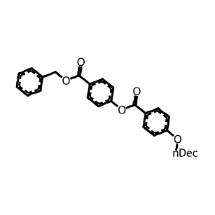 CCCCCCCCCCOc1ccc(C(=O)Oc2ccc(C(=O)OCc3ccccc3)cc2)cc1